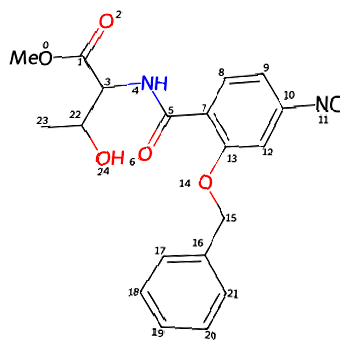 COC(=O)C(NC(=O)c1ccc([N+](=O)[O-])cc1OCc1ccccc1)C(C)O